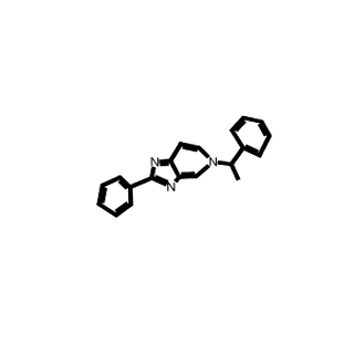 CC(c1ccccc1)n1ccc2nc(-c3ccccc3)nc-2c1